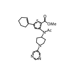 COC(=O)c1sc(C2=CCCCC2)cc1N(C(C)=O)C1CCN(c2cncnc2)CC1